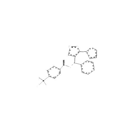 O=C(NC(c1ccccc1)c1c[nH]nc1-c1cccs1)c1ccc(C(F)(F)F)cc1